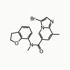 Cc1cc(C(=O)N(C)c2cccc3c2OCC3)cn2c(Br)cnc12